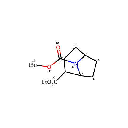 CCOC(=O)C1CCC2CCC1N2C(=O)OC(C)(C)C